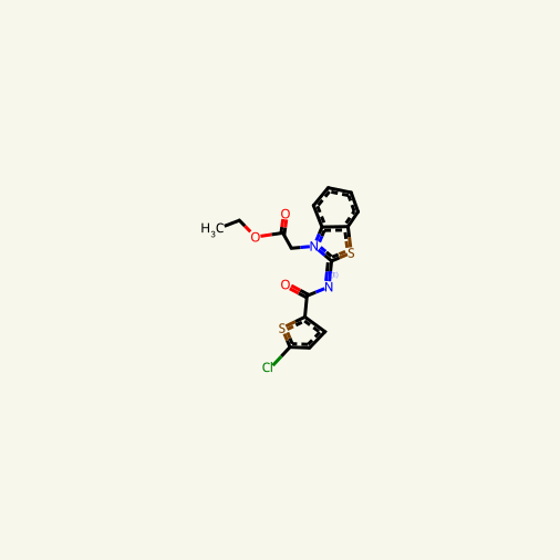 CCOC(=O)Cn1/c(=N\C(=O)c2ccc(Cl)s2)sc2ccccc21